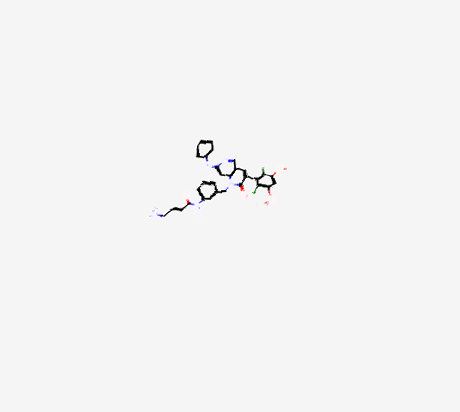 COc1cc(OC)c(Cl)c(-c2cc3cnc(Nc4ccccc4)cc3n(Cc3cccc(NC(=O)/C=C/CN(C)C)c3)c2=O)c1Cl